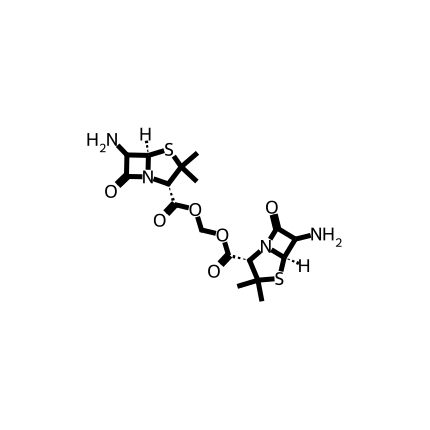 CC1(C)S[C@@H]2C(N)C(=O)N2[C@H]1C(=O)OCOC(=O)[C@@H]1N2C(=O)C(N)[C@H]2SC1(C)C